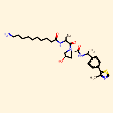 Cc1ncsc1-c1ccc(C(C)NC(=O)[C@@H]2C[C@@H](O)CN2C(=O)C(NC(=O)CCCCCCCCCN)C(C)(C)C)cc1